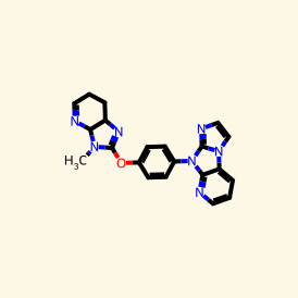 CN1C(Oc2ccc(-n3c4ncccc4n4ccnc34)cc2)=NC2CCC=NC21